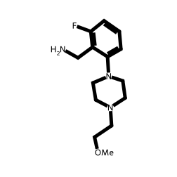 COCCN1CCN(c2cccc(F)c2CN)CC1